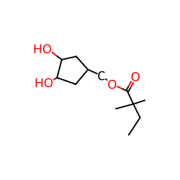 CCC(C)(C)C(=O)OCC1CC(O)C(O)C1